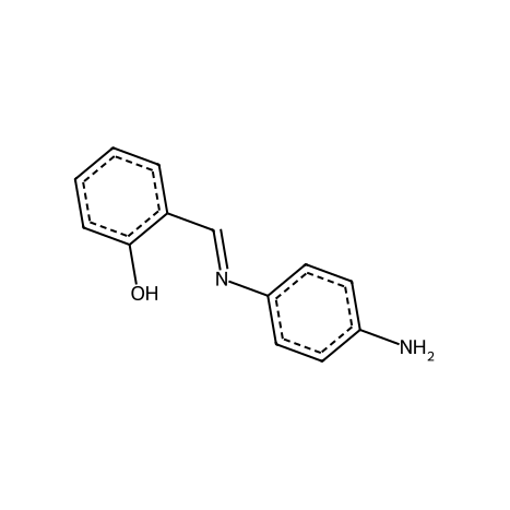 Nc1ccc(N=Cc2ccccc2O)cc1